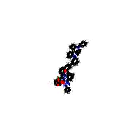 c1ccc(-c2nc(-c3ccccc3)nc(-c3cccc(-c4cccc(-c5cccc(N6c7ccccc7B7c8ccccc8N(c8ccccc8)c8cccc6c87)c5)c4)c3-n3c4ccccc4c4c5sc6ccccc6c5ccc43)n2)cc1